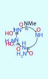 CN[C@H]1CCC(=O)NCCCC[C@@H](C(N)=O)NC(=O)[C@H](CO)N(N)C[C@H](C(C)O)NC1=O